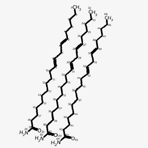 CCCCCC=CCC=CCCCCCCCCCC(N)=O.CCCCCC=CCC=CCCCCCCCCCC(N)=O.CCCCCC=CCC=CCCCCCCCCCC(N)=O